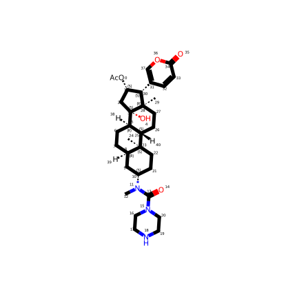 CC(=O)O[C@H]1C[C@]2(O)[C@@H]3CC[C@@H]4C[C@@H](N(C)C(=O)N5CCNCC5)CC[C@]4(C)[C@H]3CC[C@]2(C)[C@H]1c1ccc(=O)oc1